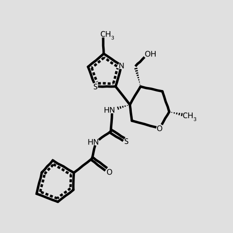 Cc1csc([C@]2(NC(=S)NC(=O)c3ccccc3)CO[C@@H](C)C[C@H]2CO)n1